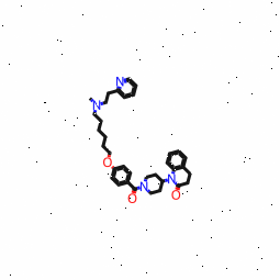 CN(CCCCCCOc1ccc(C(=O)N2CCC(N3C(=O)CCc4ccccc43)CC2)cc1)CCc1ccccn1